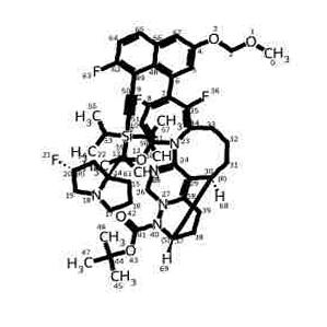 COCOc1cc(C2=C(F)C=C(OC[C@@]34CCCN3C[C@H](F)C4)N3C4=NCN5C6=C4[C@@H](CCCC3=C2F)[C@H](CC6)N5C(=O)OC(C)(C)C)c2c(C#C[Si](C(C)C)(C(C)C)C(C)C)c(F)ccc2c1